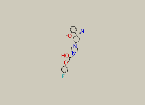 COc1ccccc1[C@]1(C#N)CC[C@@H](N2CCN(CC(O)COc3ccc(F)cc3)CC2)CC1